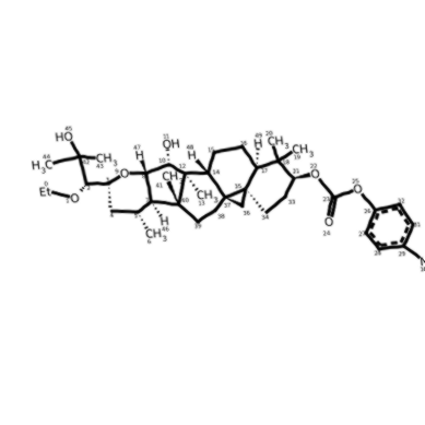 CCO[C@@H]([C@H]1C[C@@H](C)[C@H]2[C@H](O1)[C@H](O)[C@@]1(C)[C@@H]3CC[C@H]4C(C)(C)[C@@H](OC(=O)Oc5ccc([N+](=O)[O-])cc5)CC[C@@]45C[C@@]35CC[C@]21C)C(C)(C)O